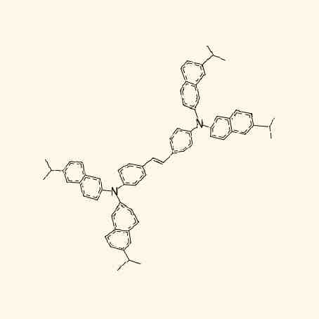 CC(C)c1ccc2cc(N(c3ccc(/C=C/c4ccc(N(c5ccc6cc(C(C)C)ccc6c5)c5ccc6ccc(C(C)C)cc6c5)cc4)cc3)c3ccc4cc(C(C)C)ccc4c3)ccc2c1